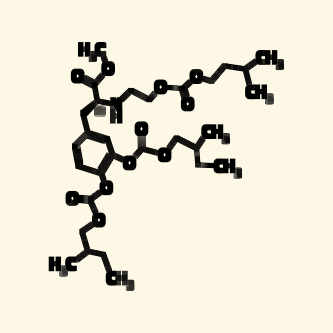 CCC(C)COC(=O)Oc1ccc(C[C@H](NCCOC(=O)OCCC(C)C)C(=O)OC)cc1OC(=O)OCC(C)CC